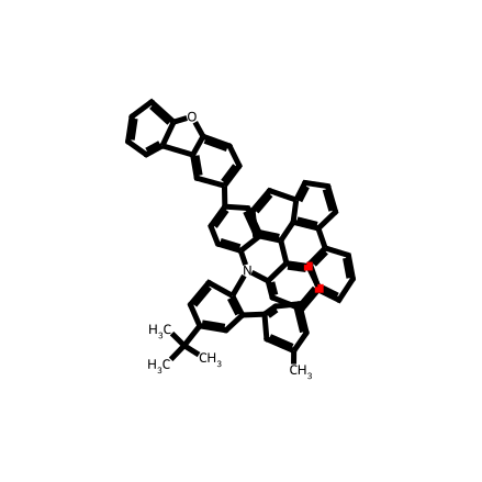 Cc1cccc(-c2cc(C(C)(C)C)ccc2N(c2ccc(-c3ccc4oc5ccccc5c4c3)cc2)c2ccccc2-c2cccc3cccc(-c4ccccc4)c23)c1